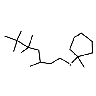 CC(CCSC1(C)CCCCC1)CC(C)(C)C(C)(C)C